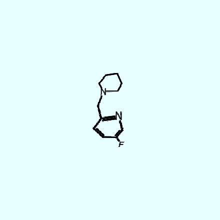 Fc1ccc(CN2CCCCC2)nc1